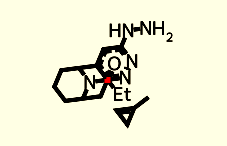 CC1=CC1.CCC(=O)N1C2CCCC1c1cc(NN)nnc1C2